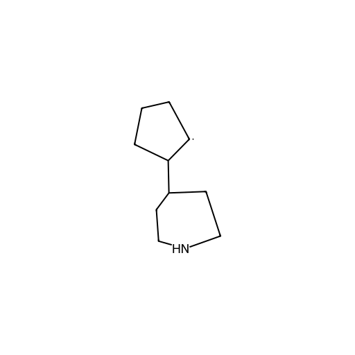 [CH]1CCCC1C1CCNCC1